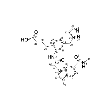 CNC(=O)c1ccc2c(C)cn(C(C)C(=O)Nc3cc(Cn4ccnn4)ccc3CCCC(=O)O)c2c1